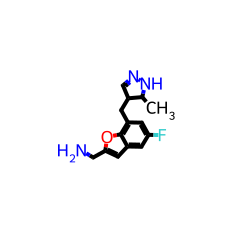 CC1NN=CC1Cc1cc(F)cc2cc(CN)oc12